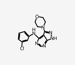 Clc1cccc(Nc2ncnc3[nH]nc(N4CCOCC4)c23)c1